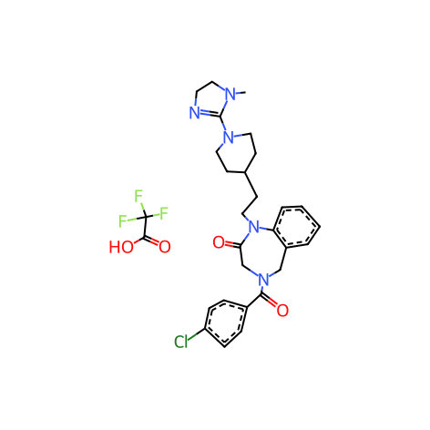 CN1CCN=C1N1CCC(CCN2C(=O)CN(C(=O)c3ccc(Cl)cc3)Cc3ccccc32)CC1.O=C(O)C(F)(F)F